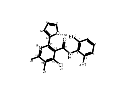 CCc1cccc(CC)c1NC(=O)c1c(-c2ccco2)nc(C)c(C)c1Cl